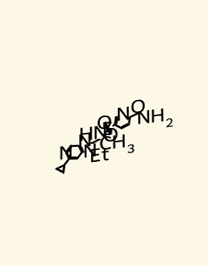 CCn1c([C@@H](C)NS(=O)(=O)c2ccc(C(N)=O)nc2)nc2cnc(C3CC3)cc21